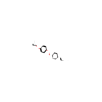 C=CCOc1ccc(OC(=O)[C@H]2CC[C@H](C=CCCC)CC2)cc1